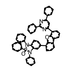 O=P1(c2ccccc2)N(c2ccccc2)c2ccc(-c3cccc4c3oc3c(-c5cc(-c6ccccc6)nc(-c6ccccc6)n5)cccc34)cc2N1c1ccccc1